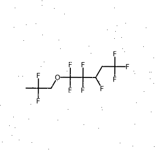 CC(F)(F)COC(F)(F)C(F)(F)C(F)CC(F)(F)F